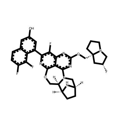 Oc1cc(-c2nc3c4c(nc(OC[C@]56CCCN5C[C@H](F)C6)nc4c2F)N2C[C@H]4CC[C@H](N4)[C@H]2CO3)c2c(F)c(F)ccc2c1